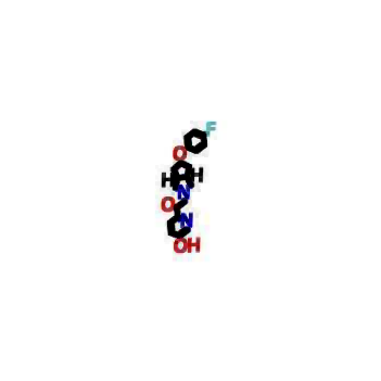 O=C(CN1C[C@H]2C[C@H](Oc3ccc(F)cc3)C[C@H]2C1)c1ccc(O)cn1